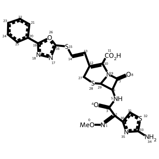 CO/N=C(\C(=O)NC1C(=O)N2C(C(=O)O)=C(/C=C/Sc3nnc(-c4ccccc4)o3)CSC12)c1csc(N)n1